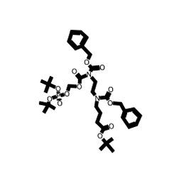 CC(C)(C)OC(=O)CCCN(CCN(C(=O)OCOP(=O)(OC(C)(C)C)OC(C)(C)C)C(=O)OCc1ccccc1)C(=O)OCc1ccccc1